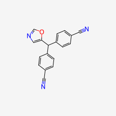 N#Cc1ccc(C(c2ccc(C#N)cc2)c2cnco2)cc1